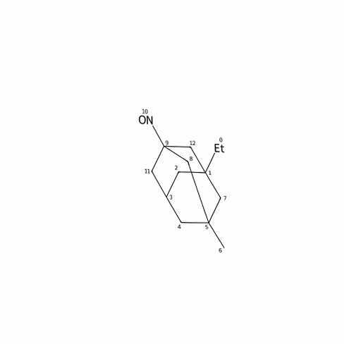 CCC12CC3CC(C)(C1)CC(N=O)(C3)C2